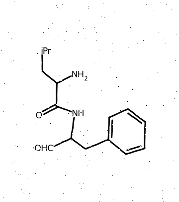 CC(C)CC(N)C(=O)NC([C]=O)Cc1ccccc1